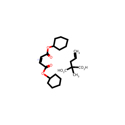 C=CCC(C)(C(=O)O)C(=O)O.O=C(/C=C\C(=O)OC1CCCCC1)OC1CCCCC1